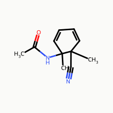 CC(=O)NC1(C)C=CC=CC1(C)C#N